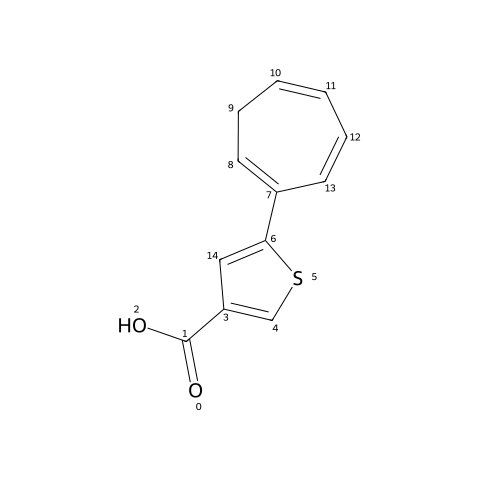 O=C(O)c1csc(C2=CCC=CC=C2)c1